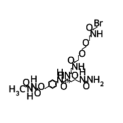 CC(=O)NNC(=O)OCc1ccc(NC(=O)[C@H](CCCNC(N)=O)NC(=O)CNC(=O)CCOCCOCCNC(=O)CBr)cc1